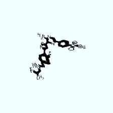 CCC(C)S(=O)(=O)c1ccc(-c2cnc(N)c(-c3cc(-c4ccc(CNCC(C)F)cc4F)no3)n2)cc1